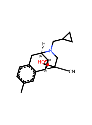 Cc1ccc2c(c1)[C@]13CCN(CC4CC4)[C@H](C2)[C@]1(O)CC(C#N)C3